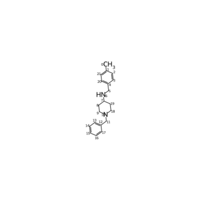 Cc1ccc(CNC2CCN(Cc3ccccc3)CC2)cc1